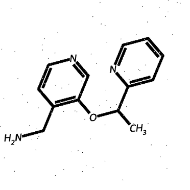 CC(Oc1cnccc1CN)c1ccccn1